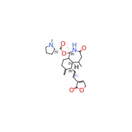 C=C1CCC2[C@@H](C(C)CC(=O)N[C@]2(C)OC(=O)[C@@H]2CCCN2C)[C@H]1/C=C/C1=CCOC1=O